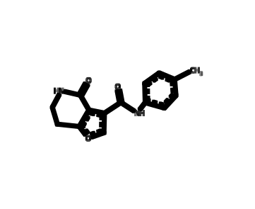 Cc1ccc(NC(=O)c2coc3c2C(=O)NCC3)cc1